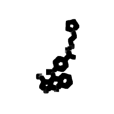 CC(=NOCCN1CCCC1)c1ccc(Nc2c3ccccc3nc3occ(Cl)c23)cc1